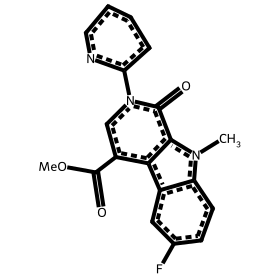 COC(=O)c1cn(-c2ccccn2)c(=O)c2c1c1cc(F)ccc1n2C